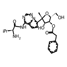 CC(C)[C@H](N)C(=O)Nc1ncnn2c([C@]3(C)O[C@H](CO)[C@@H](OC(=O)Cc4ccccc4)[C@H]3O)ccc12